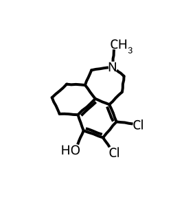 CN1CCc2c(Cl)c(Cl)c(O)c3c2C(CCC3)C1